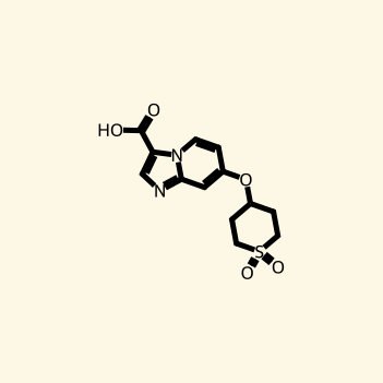 O=C(O)c1cnc2cc(OC3CCS(=O)(=O)CC3)ccn12